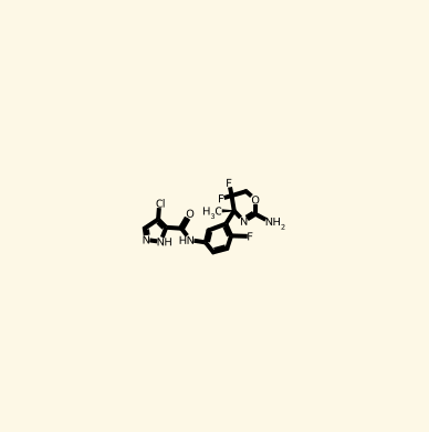 C[C@]1(c2cc(NC(=O)c3[nH]ncc3Cl)ccc2F)N=C(N)OCC1(F)F